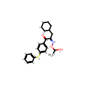 CC(O)O/N=C(/CC1CCCCC1)C(=O)c1ccc(Sc2ccccc2)cc1